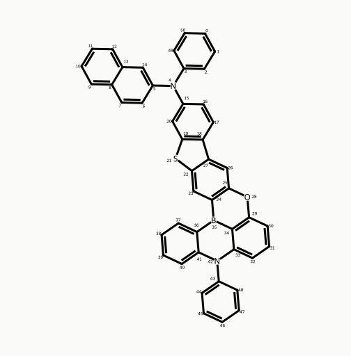 c1ccc(N(c2ccc3ccccc3c2)c2ccc3c(c2)sc2cc4c(cc23)Oc2cccc3c2B4c2ccccc2N3c2ccccc2)cc1